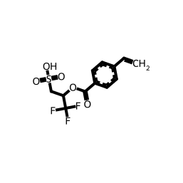 C=Cc1ccc(C(=O)OC(CS(=O)(=O)O)C(F)(F)F)cc1